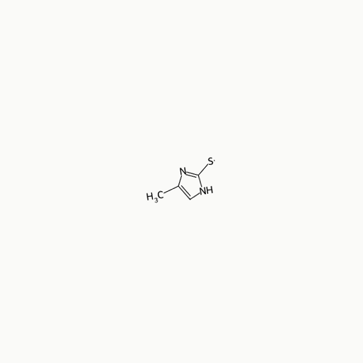 Cc1c[nH]c([S])n1